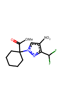 COC(=O)C1(n2cc([N+](=O)[O-])c(C(F)F)n2)CCCCC1